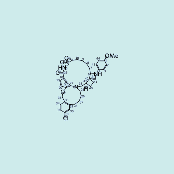 COc1ccc(N[C@@H]2CCCCCS(=O)(=O)NC(=O)c3ccc4c(c3)N(CCCCc3cc(Cl)ccc3CO4)C[C@@H]3CC[C@H]32)cc1